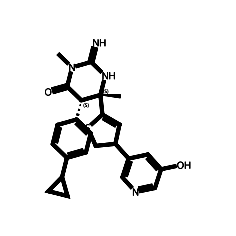 CN1C(=N)N[C@](C)(C2=CC(c3cncc(O)c3)CS2)[C@H](c2ccc(C3CC3)cc2)C1=O